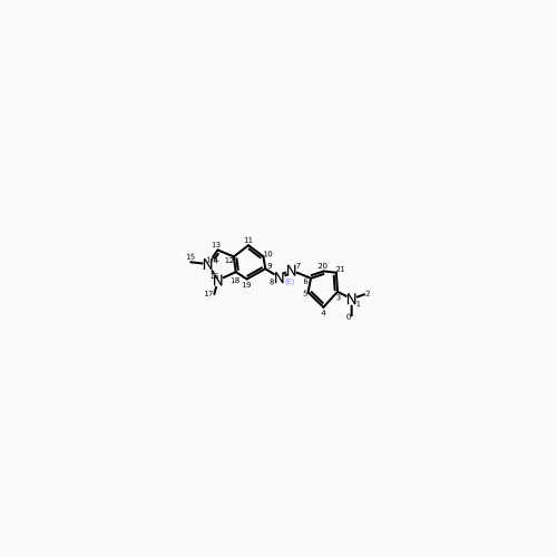 CN(C)c1ccc(/N=N/c2ccc3c[n+](C)n(C)c3c2)cc1